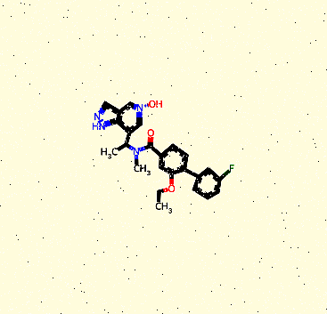 CCOc1cc(C(=O)N(C)C(C)c2c[n+](O)cc3cn[nH]c23)ccc1-c1cccc(F)c1